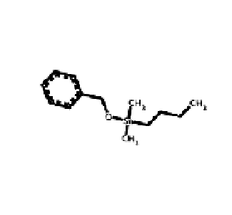 CCC[CH2][Sn]([CH3])([CH3])[O]Cc1ccccc1